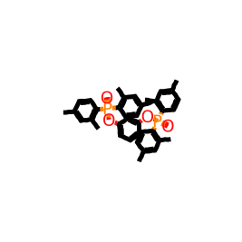 Cc1ccc(P(=O)(Oc2cccc(OP(=O)(c3ccc(C)cc3C)c3ccc(C)cc3C)c2)c2ccc(C)cc2C)c(C)c1